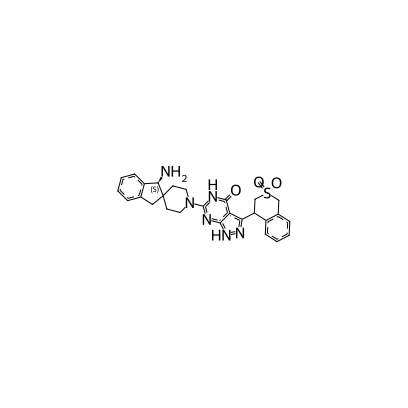 N[C@@H]1c2ccccc2CC12CCN(c1nc3[nH]nc(C4CS(=O)(=O)Cc5ccccc54)c3c(=O)[nH]1)CC2